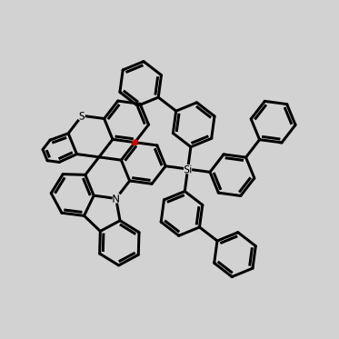 c1ccc(-c2cccc([Si](c3cccc(-c4ccccc4)c3)(c3cccc(-c4ccccc4)c3)c3ccc4c(c3)-n3c5ccccc5c5cccc(c53)C43c4ccccc4Sc4ccccc43)c2)cc1